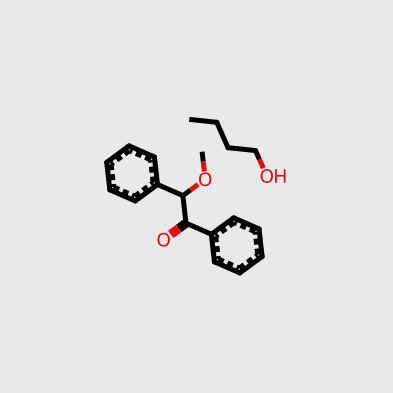 CCCCO.COC(C(=O)c1ccccc1)c1ccccc1